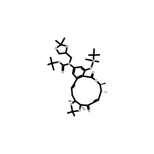 C[C@@H]1/C=C\C(=O)[C@H]2OC(C)(C)O[C@H]2C/C=C/c2cc(N(CC3COC(C)(C)O3)C(=O)OC(C)(C)C)cc(O[Si](C)(C)C(C)(C)C)c2C(=O)O[C@H]1C